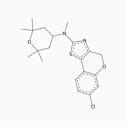 CN(c1nc2c(s1)-c1ccc(Cl)cc1OC2)C1CC(C)(C)OC(C)(C)C1